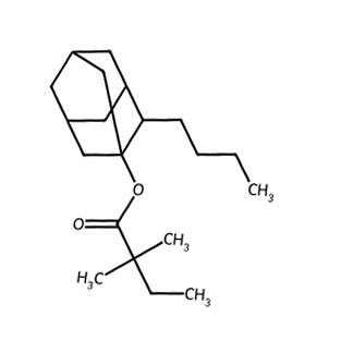 CCCCC1C2CC3CC(C2)CC1(OC(=O)C(C)(C)CC)C3